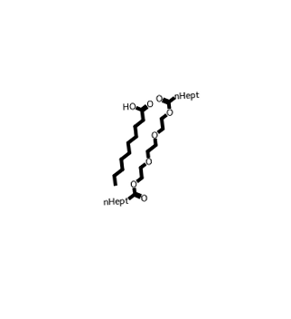 CCCCCCCC(=O)OCCOCCOCCOC(=O)CCCCCCC.CCCCCCCCCC(=O)O